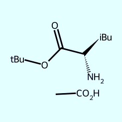 CC(=O)O.CC[C@H](C)[C@H](N)C(=O)OC(C)(C)C